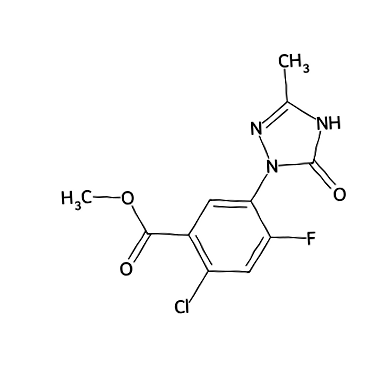 COC(=O)c1cc(-n2nc(C)[nH]c2=O)c(F)cc1Cl